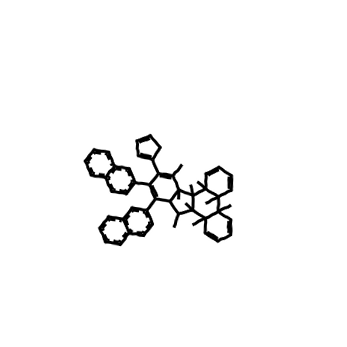 CC1=C(C2=CC=CC2)C(c2ccc3ccccc3c2)=C(c2ccc3ccccc3c2)C2C(C)C3(C)C4(C)C=CC=CC4(C)C4(C)C=CC=CC4(C)C3(C)C12C